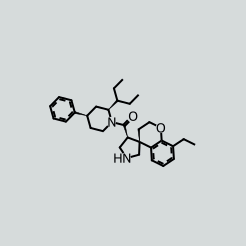 CCc1cccc2c1OCC[C@]21CNC[C@H]1C(=O)N1CC[C@@H](c2ccccc2)C[C@H]1C(CC)CC